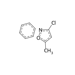 Cc1cc(Cl)no1.c1ccccc1